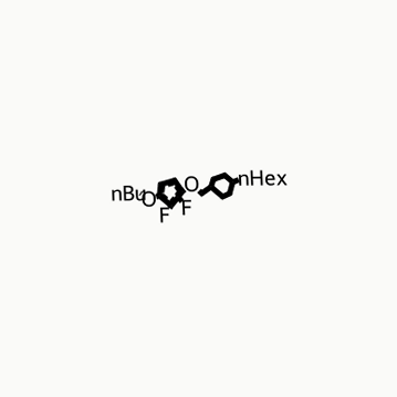 CCCCCCC1CCC(COc2ccc(OCCCC)c(F)c2F)CC1